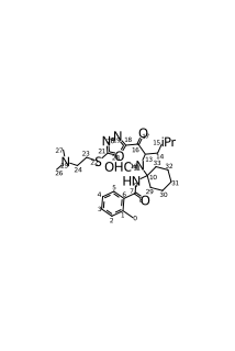 Cc1ccccc1C(=O)NC1(N(C=O)C(CC(C)C)C(=O)c2nnc(SCCN(C)C)o2)CCCCC1